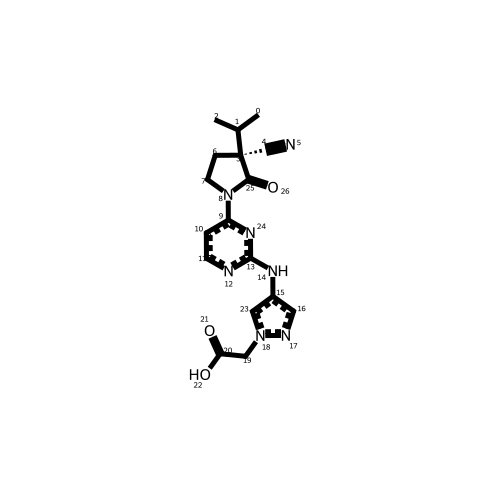 CC(C)[C@]1(C#N)CCN(c2ccnc(Nc3cnn(CC(=O)O)c3)n2)C1=O